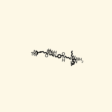 CCCCc1nc2c(N)nc3cc(C)sc3c2n1CCCCNC(=O)C1CCC(CN/C=C(/CNC(=O)CCCC#Cc2cnc(SC)nc2)N=N)CC1